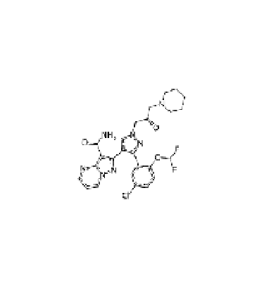 NC(=O)c1c(-c2cn(CC(=O)CN3CCCCC3)nc2-c2cc(Cl)ccc2OC(F)F)nn2cccnc12